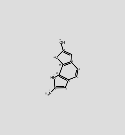 Nc1cc2ccc3cc(O)oc3c2[nH]1